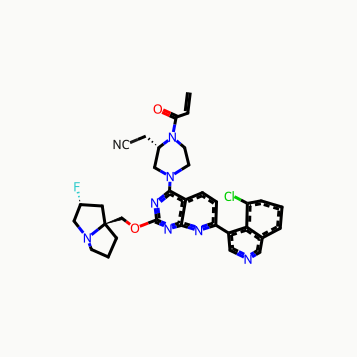 C=CC(=O)N1CCN(c2nc(OC[C@@]34CCCN3C[C@H](F)C4)nc3nc(-c4cncc5cccc(Cl)c45)ccc23)C[C@@H]1CC#N